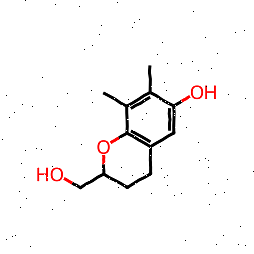 Cc1c(O)cc2c(c1C)OC(CO)CC2